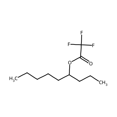 CCCCCC(CCC)OC(=O)C(F)(F)F